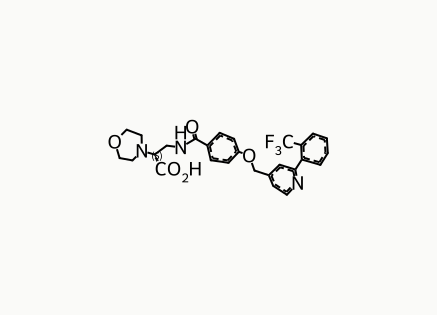 O=C(NC[C@@H](C(=O)O)N1CCOCC1)c1ccc(OCc2ccnc(-c3ccccc3C(F)(F)F)c2)cc1